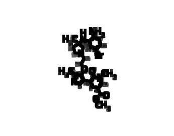 COC(=O)c1cc(-c2cnn(C)c2OCCN2CCC(C)(Nc3cc(Br)ccc3N)C2)c(=O)n(C)c1